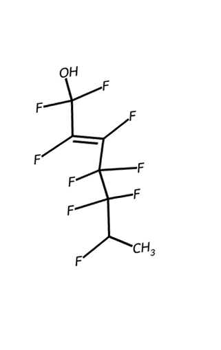 CC(F)C(F)(F)C(F)(F)/C(F)=C(\F)C(O)(F)F